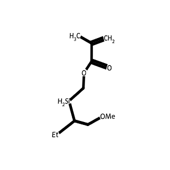 C=C(C)C(=O)OC[SiH2]C(CC)COC